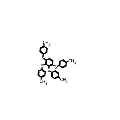 Cc1ccc(Sc2ccc(Sc3ccc(C)cc3)c(Sc3ccc(C)cc3)c2Sc2ccc(C)cc2)cc1